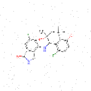 CC1(C)CC(O)(C(F)(F)F)C(Nc2cc(F)cc3c2CNC3=O)c2c(F)ccc(O)c21